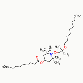 CCCCCCCCCCCCCCCCCCOC(C)(C)CON1C(C)(C)CC(OC(=O)CCCCCCCCCCCCCCCCC)CC1(C)C